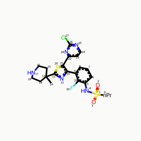 CCCS(=O)(=O)Nc1cccc(-c2nc(C3(C)CCNCC3)sc2-c2ccnc(Cl)n2)c1F